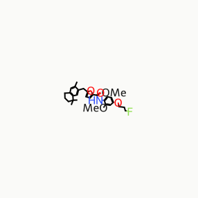 COc1cc(OCCCF)cc(OC)c1NC(=O)c1ccc(Cc2cc3c(cc2C)CCCC3(C)C)o1